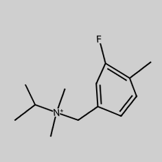 Cc1ccc(C[N+](C)(C)C(C)C)cc1F